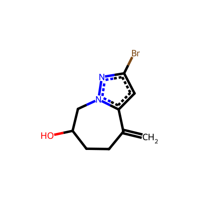 C=C1CCC(O)Cn2nc(Br)cc21